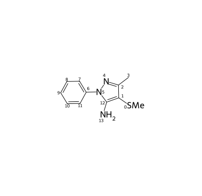 CSc1c(C)nn(-c2ccccc2)c1N